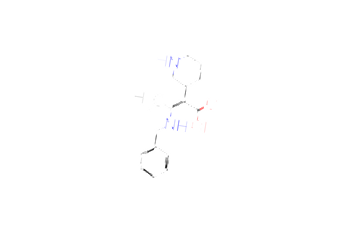 C/C(NCc1ccccc1)=C(/C(=O)O)C1CCCNC1